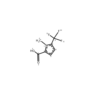 Cn1c(C(=O)O)ccc1C(F)(F)F